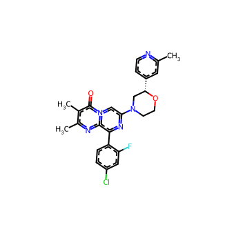 Cc1cc([C@H]2CN(c3cn4c(=O)c(C)c(C)nc4c(-c4ccc(Cl)cc4F)n3)CCO2)ccn1